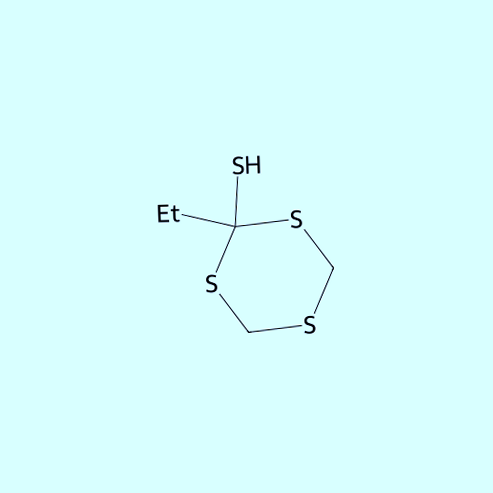 CCC1(S)SCSCS1